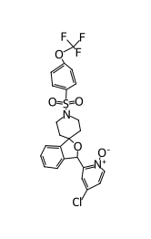 O=S(=O)(c1ccc(OC(F)(F)F)cc1)N1CCC2(CC1)OC(c1cc(Cl)cc[n+]1[O-])c1ccccc12